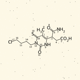 Cc1c(C(CC(=O)O)C(N)=O)[nH]c(=O)n(CCCCCl)c1=S